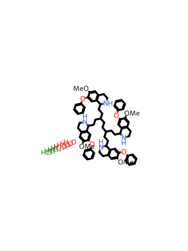 COc1cc2c(cc1Oc1ccccc1)C(CCC(CCC(CCC1NCCc3cc(OC)c(Oc4ccccc4)cc31)CCC1NCCc3cc(OC)c(Oc4ccccc4)cc31)CCC1NCCc3cc(OC)c(Oc4ccccc4)cc31)NCC2.Cl.Cl.Cl.Cl.O.O.O.O